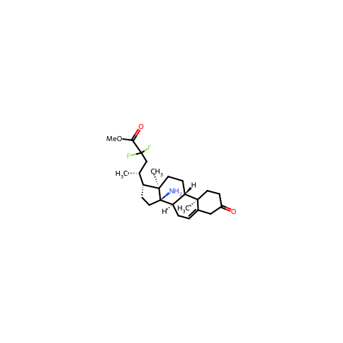 COC(=O)C(F)(F)C[C@@H](C)[C@H]1CC[C@@]2(N)[C@@H]3CC=C4CC(=O)CC[C@]4(C)[C@H]3CC[C@]12C